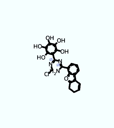 N/C(=N\C(=N/CCl)c1c(O)c(O)c(O)c(O)c1O)c1cccc2c3c(oc12)CCC=C3